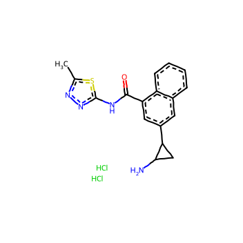 Cc1nnc(NC(=O)c2cc(C3CC3N)cc3ccccc23)s1.Cl.Cl